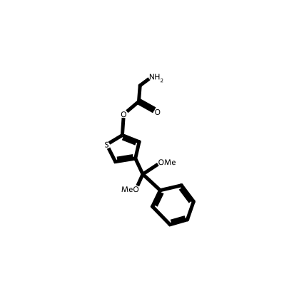 COC(OC)(c1ccccc1)c1csc(OC(=O)CN)c1